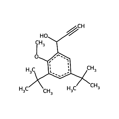 C#CC(O)c1cc(C(C)(C)C)cc(C(C)(C)C)c1OC